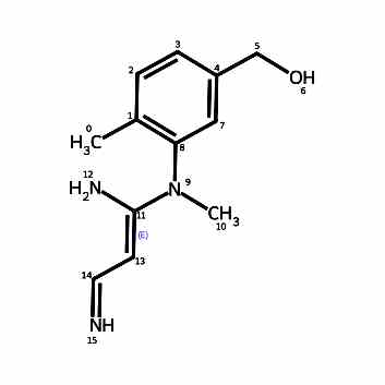 Cc1ccc(CO)cc1N(C)/C(N)=C/C=N